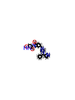 O=C1CCC(N2Cc3cc(CN4CCN(C(c5ccccc5)c5cccnc5)CC4)ccc3C2=O)C(=O)N1